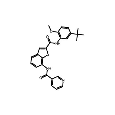 COc1ccc(C(C)(C)C)cc1NC(=O)c1cc2cccc(NC(=O)c3cccnc3)c2s1